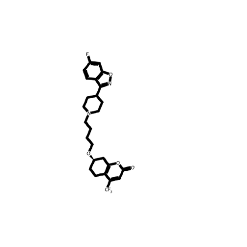 O=c1cc(C(F)(F)F)c2c(o1)C[C@H](OCCCCN1CCC(c3noc4cc(F)ccc34)CC1)CC2